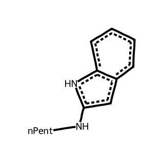 CCCCCNc1cc2ccccc2[nH]1